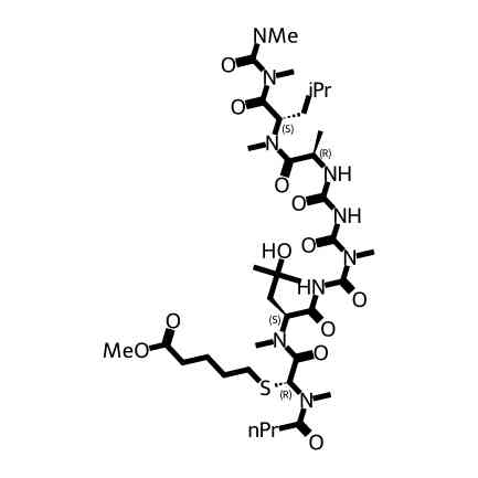 CCCC(=O)N(C)[C@H](SCCCCC(=O)OC)C(=O)N(C)[C@@H](CC(C)(C)O)C(=O)NC(=O)N(C)C(=O)NC(=O)N[C@H](C)C(=O)N(C)[C@@H](CC(C)C)C(=O)N(C)C(=O)NC